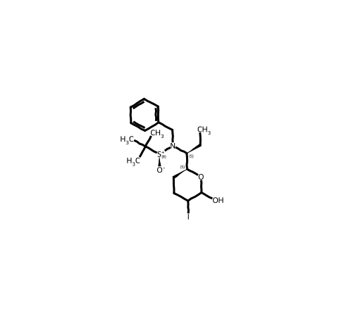 CC[C@@H]([C@@H]1CCC(I)C(O)O1)N(Cc1ccccc1)[S@@+]([O-])C(C)(C)C